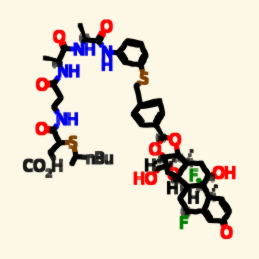 CCCCC(C)SC(CC(=O)O)C(=O)NCCC(=O)N[C@@H](C)C(=O)N[C@@H](C)C(=O)Nc1cccc(SCc2ccc([C@@H]3O[C@@H]4C[C@H]5[C@@H]6C[C@H](F)C7=CC(=O)C=C[C@]7(C)[C@@]6(F)[C@@H](O)C[C@]5(C)[C@]4(C(=O)CO)O3)cc2)c1